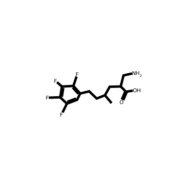 CC(CCc1cc(F)c(F)c(F)c1F)CC(CN)C(=O)O